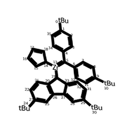 CC(C)(C)c1ccc([C](c2ccc(C(C)(C)C)cc2)=[Zr]([CH]2C=CC=C2)[CH]2c3ccc(C(C)(C)C)cc3-c3cc(C(C)(C)C)ccc32)cc1